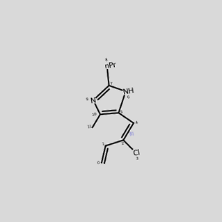 C=C/C(Cl)=C\c1[nH]c(CCC)nc1C